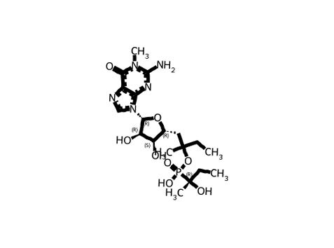 CCC(C)(C[C@H]1O[C@@H](n2cnc3c(=O)n(C)c(N)nc32)[C@H](O)[C@@H]1O)OP(=O)(O)[C@@](C)(O)CC